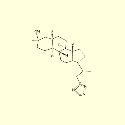 C[C@H](Cn1nccn1)[C@H]1CC[C@H]2[C@@H]3CC[C@H]4C[C@](C)(O)CC[C@@H]4[C@H]3CC[C@]12C